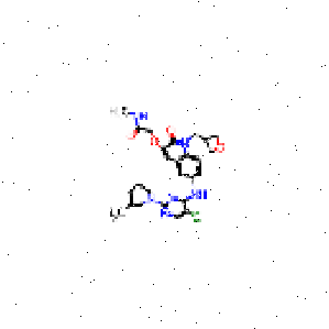 CNC(=O)COc1cc2cc(Nc3nc(N4CCCC(C)C4)ncc3Cl)ccc2n(CC2COC2)c1=O